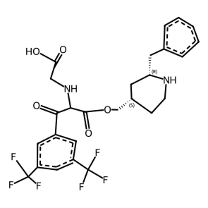 O=C(O)CNC(C(=O)OC[C@H]1CCN[C@@H](Cc2ccccc2)C1)C(=O)c1cc(C(F)(F)F)cc(C(F)(F)F)c1